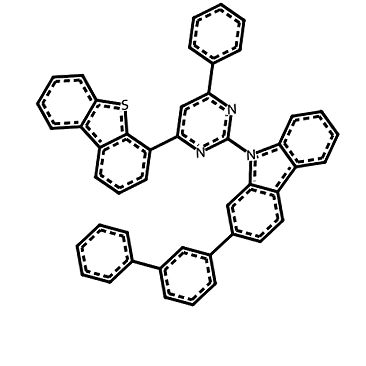 c1ccc(-c2cccc(-c3ccc4c5ccccc5n(-c5nc(-c6ccccc6)cc(-c6cccc7c6sc6ccccc67)n5)c4c3)c2)cc1